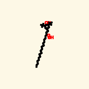 CCCCCCCCCCCCCCCCCCC(CCc1cc(C(C)(C)C)c(O)c(C(C)(C)C)c1)OO